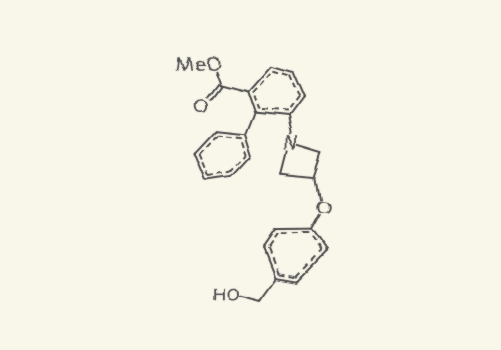 COC(=O)c1cccc(N2CC(Oc3ccc(CO)cc3)C2)c1-c1ccccc1